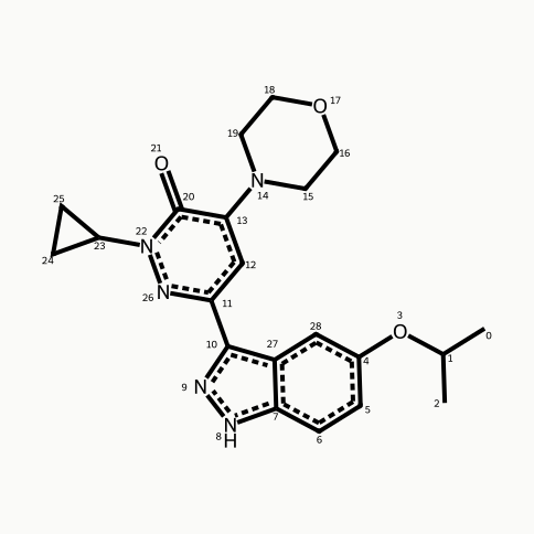 CC(C)Oc1ccc2[nH]nc(-c3cc(N4CCOCC4)c(=O)n(C4CC4)n3)c2c1